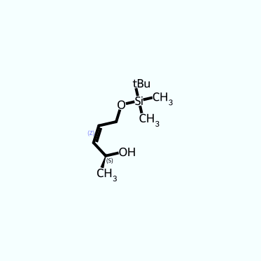 C[C@H](O)/C=C\CO[Si](C)(C)C(C)(C)C